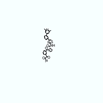 Cc1cc(-c2cccc(-c3csc(NC(=O)[C@@H]4CCCN4C(=O)c4cccc(C(=O)C(=O)N(C)C)c4)n3)c2)cc(C)n1